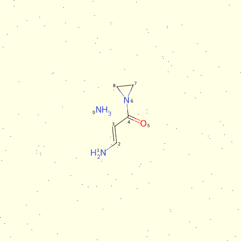 N.NC=CC(=O)N1CC1